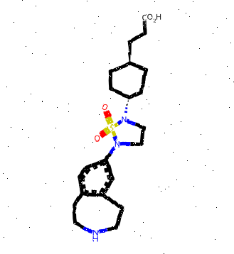 O=C(O)CC[C@H]1CC[C@H](N2CCN(c3ccc4c(c3)CCNCC4)S2(=O)=O)CC1